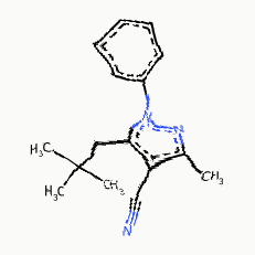 Cc1nn(-c2ccccc2)c(CC(C)(C)C)c1C#N